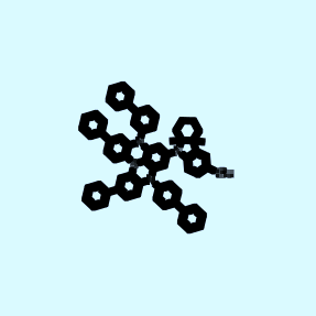 CC(C)(C)c1ccc2c(c1)C1(C)CCCCC1(C)N2c1cc2c3c(c1)N(c1cccc(-c4ccccc4)c1)c1cc(-c4ccccc4)ccc1B3c1cc(-c3ccccc3)ccc1N2c1ccc(-c2ccccc2)cc1